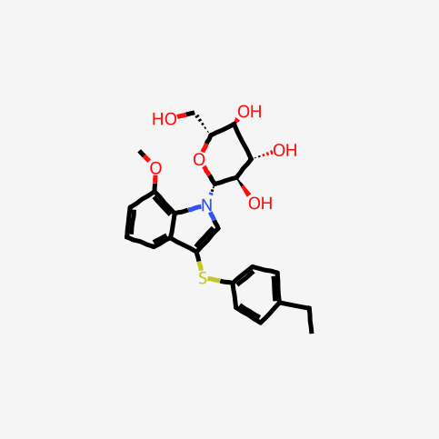 CCc1ccc(Sc2cn([C@@H]3O[C@H](CO)[C@@H](O)[C@H](O)[C@H]3O)c3c(OC)cccc23)cc1